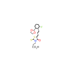 O=C(O)CCN1C(=O)C(=CC=Cc2c(F)cccc2C2OCCO2)SC1=S